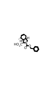 C[C@@H]1C=CC[C@H]2CN(C(=O)OCc3ccccc3)[C@H](C(=O)O)[C@H]21